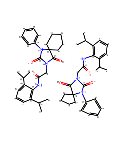 CC(C)c1cccc(C(C)C)c1NC(=O)CN1C(=O)N(c2ccccc2)C2(CCCC2)C1=O.CC(C)c1cccc(C(C)C)c1NC(=O)CN1C(=O)N(c2ccccc2)C2(CCCCC2)C1=O